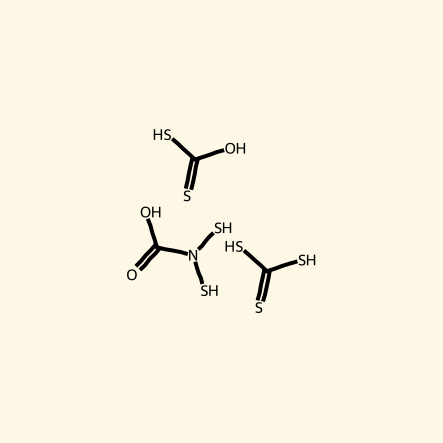 O=C(O)N(S)S.OC(=S)S.S=C(S)S